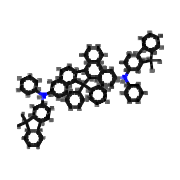 CC1(C)c2ccccc2-c2ccc(N(c3ccccc3)c3ccc4c5c(ccc4c3)-c3c(c4ccc(N(c6ccccc6)c6ccc7c(c6)C(C)(C)c6ccccc6-7)cc4c4ccccc34)C5(c3ccccc3)c3ccccc3)cc21